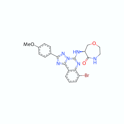 COc1ccc(-c2nc3c4cccc(Br)c4nc(N[C@H]4COCCNC4=O)n3n2)cc1